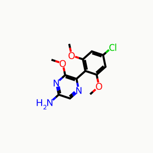 COc1cc(Cl)cc(OC)c1-c1ncc(N)nc1OC